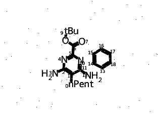 CCCCCc1c(N)nc(C(=O)OC(C)(C)C)nc1N.c1ccccc1